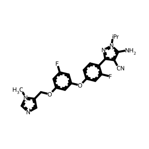 CC(C)n1nc(-c2ccc(Oc3cc(F)cc(OCc4cncn4C)c3)cc2F)c(C#N)c1N